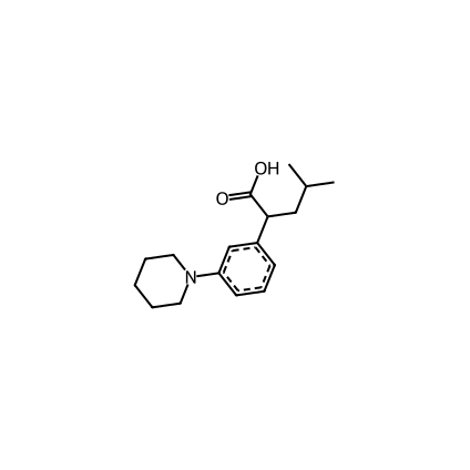 CC(C)CC(C(=O)O)c1cccc(N2CCCCC2)c1